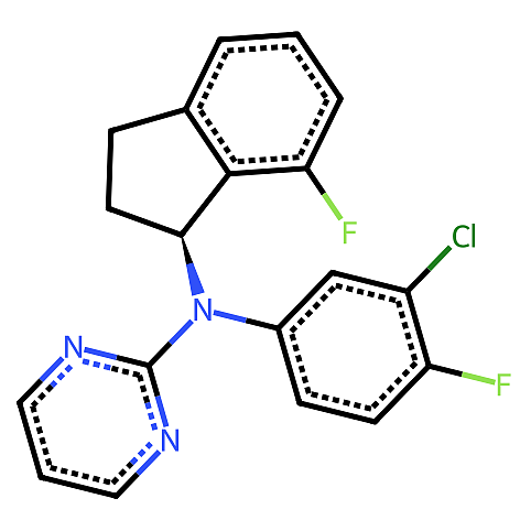 Fc1ccc(N(c2ncccn2)[C@H]2CCc3cccc(F)c32)cc1Cl